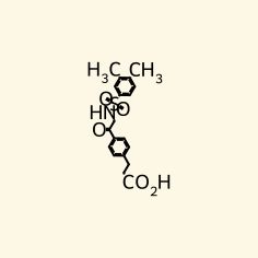 Cc1ccc(S(=O)(=O)NCC(=O)c2ccc(CCC(=O)O)cc2)cc1C